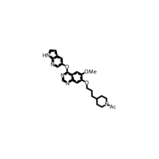 COc1cc2c(Oc3cnc4[nH]ccc4c3)ncnc2cc1OCCCC1CCN(C(C)=O)CC1